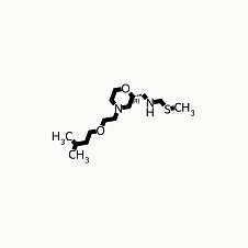 CSCNC[C@@H]1CN(CCOCCC(C)C)CCO1